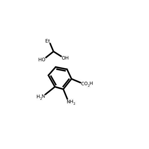 CCC(O)O.Nc1cccc(C(=O)O)c1N